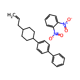 C=CCC1CCC(c2ccc(-c3ccccc3)cc2)CC1.O=[N+]([O-])c1ccccc1[N+](=O)[O-]